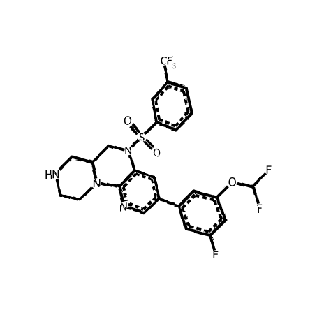 O=S(=O)(c1cccc(C(F)(F)F)c1)N1CC2CNCCN2c2ncc(-c3cc(F)cc(OC(F)F)c3)cc21